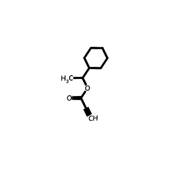 C#CC(=O)OC(C)C1CCCCC1